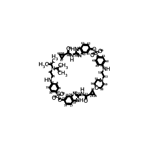 CC(C)N(CCNc1ccc(S(=O)(=O)Oc2ccc3[nH]c(NC(=O)C4CC4)nc3c2)cc1)C(C)C.O=C(Nc1nc2cc(OS(=O)(=O)c3ccc(NCCN4CCOCC4)cc3)ccc2[nH]1)C1CC1